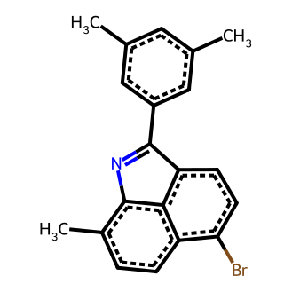 Cc1cc(C)cc(C2=Nc3c(C)ccc4c(Br)ccc2c34)c1